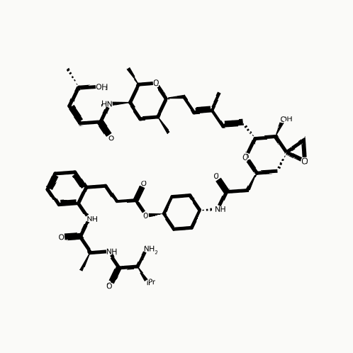 CC(/C=C/[C@H]1O[C@H](CC(=O)N[C@H]2CC[C@H](OC(=O)CCc3ccccc3NC(=O)[C@H](C)NC(=O)[C@@H](N)C(C)C)CC2)C[C@@]2(CO2)[C@@H]1O)=C\C[C@@H]1O[C@H](C)[C@H](NC(=O)/C=C\[C@H](C)O)C[C@@H]1C